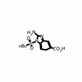 CCCCS(=O)(=O)N1C2=CCC(C(=O)O)=CC2=NC1N